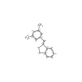 FC(F)(F)c1cc(N=C2CSc3ccccc32)cc(C(F)(F)F)c1